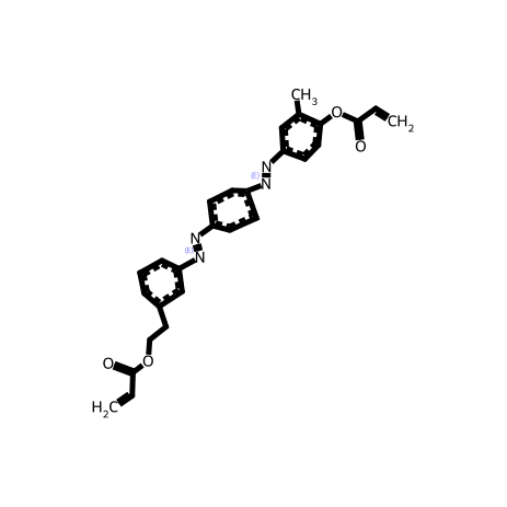 C=CC(=O)OCCc1cccc(/N=N/c2ccc(/N=N/c3ccc(OC(=O)C=C)c(C)c3)cc2)c1